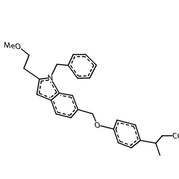 COCCc1cc2ccc(COc3ccc(C(C)CC(=O)O)cc3)cc2n1Cc1ccccc1